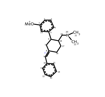 COc1cccc(C2C/C(=C/c3ccccc3)CCC2CN(C)C)c1